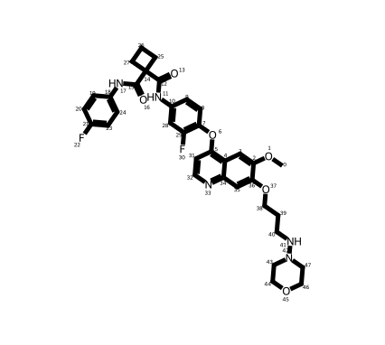 COc1cc2c(Oc3ccc(NC(=O)C4(C(=O)Nc5ccc(F)cc5)CCC4)cc3F)ccnc2cc1OCCCNN1CCOCC1